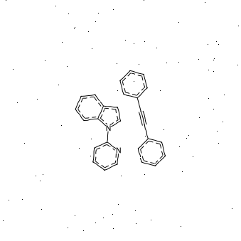 C(#Cc1ccccc1)c1ccccc1.c1ccc(-n2ccc3ccccc32)nc1